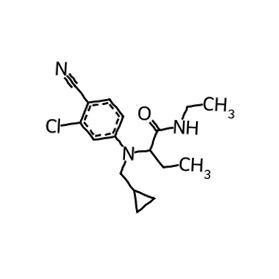 CCNC(=O)C(CC)N(CC1CC1)c1ccc(C#N)c(Cl)c1